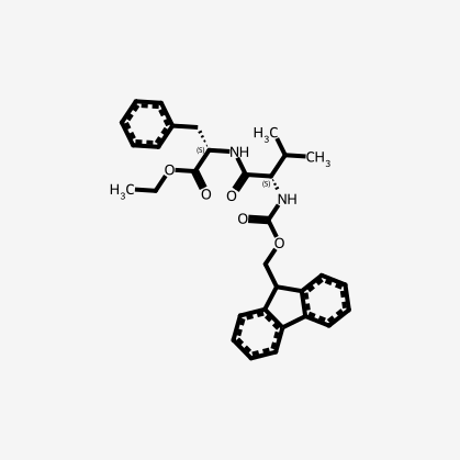 CCOC(=O)[C@H](Cc1ccccc1)NC(=O)[C@@H](NC(=O)OCC1c2ccccc2-c2ccccc21)C(C)C